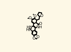 COC1=C(OC)C(CC2CCCO2)C2C(=O)NC3=C(NNc4cc5c(cc43)OCO5)C2=C1